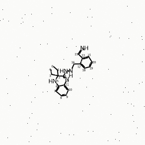 CCC1(CC)Nc2ccccc2N=C1NNCc1ccccc1C=N